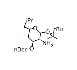 CCCCCCCCCCO[C@H]1[C@H](C)[C@@H](CC(C)C)O[C@@H](O[Si](C)(C)C(C)(C)C)[C@@H]1N